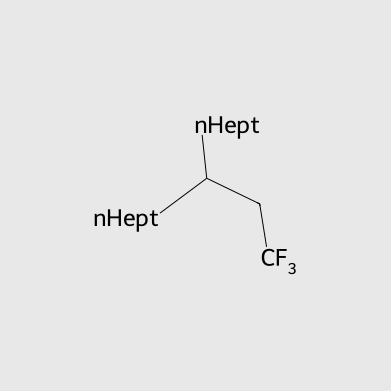 CCCCCCCC(CCCCCCC)CC(F)(F)F